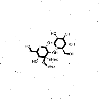 CCCCCCO[C@@]1(CCCCCC)[C@H](O)[C@@H](CO)O[C@H](O[C@H]2O[C@H](CO)[C@@H](O)[C@H](O)[C@H]2O)[C@@H]1O